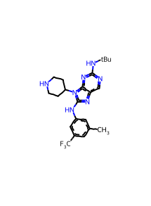 Cc1cc(Nc2nc3cnc(NC(C)(C)C)nc3n2C2CCNCC2)cc(C(F)(F)F)c1